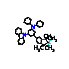 CC1(C)c2ccc(-c3cc(N(c4ccccc4)c4ccccc4)cc(-n4c5ccccc5c5ccccc54)c3)cc2C(C)(C)C1(F)F